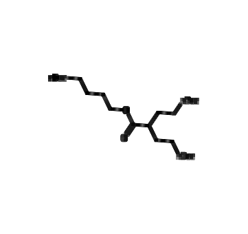 CCCCCCCCCCCCCCOC(=O)C(CCCCCCCCCCCC)CCCCCCCCCCCC